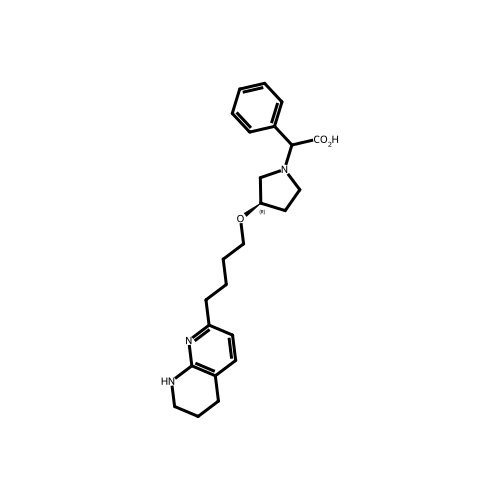 O=C(O)C(c1ccccc1)N1CC[C@@H](OCCCCc2ccc3c(n2)NCCC3)C1